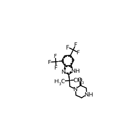 CC(C)(CN1CCNCC1=O)c1nc2c(C(F)(F)F)cc(C(F)(F)F)cc2[nH]1